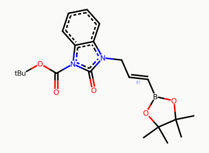 CC(C)(C)OC(=O)n1c(=O)n(C/C=C/B2OC(C)(C)C(C)(C)O2)c2ccccc21